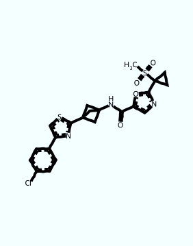 CS(=O)(=O)C1(c2ncc(C(=O)NC34CC(c5nc(-c6ccc(Cl)cc6)cs5)(C3)C4)o2)CC1